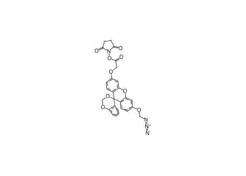 [N-]=[N+]=NCOc1ccc2c(c1)Oc1cc(OCC(=O)ON3C(=O)CCC3=O)ccc1C21OCOc2ccccc21